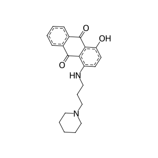 O=C1c2ccccc2C(=O)c2c(NCCCN3CCCCC3)ccc(O)c21